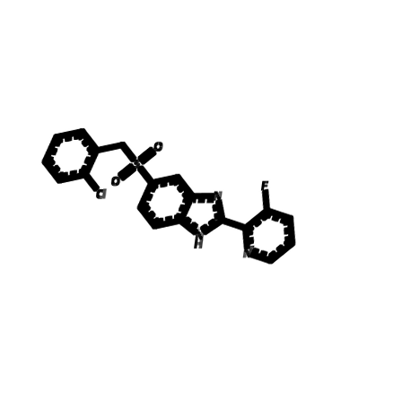 O=S(=O)(Cc1ccccc1Cl)c1ccc2[nH]c(-c3ncccc3F)nc2c1